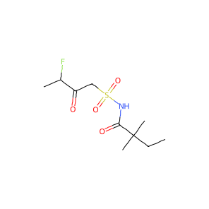 CCC(C)(C)C(=O)NS(=O)(=O)CC(=O)C(C)F